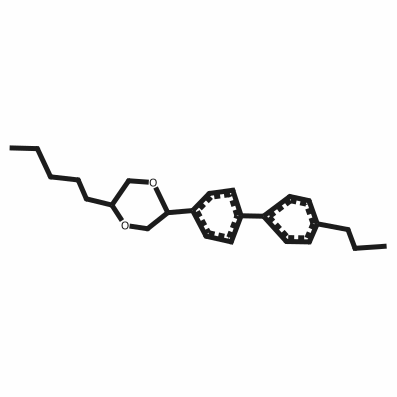 CCCCCC1COC(c2ccc(-c3ccc(CCC)cc3)cc2)CO1